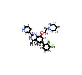 CNc1nc(-c2cccnc2)nc2c(OCCN3CCCCC3)cc(-c3cccc(F)c3F)cc12